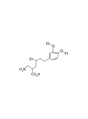 CCOc1ccc(CCC(CC)CC(CN)C(=O)O)cc1OCC